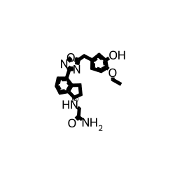 CCOc1ccc(Cc2nc(-c3cccc4c3CC[C@@H]4NCC(N)=O)no2)cc1O